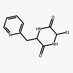 CCC1NC(=O)C(Cc2ccccn2)NC1=O